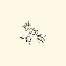 CC(C)(C)OC(=O)O.CC1(C)OB(c2ccc(N3C4CN5CC53C4)nc2)OC1(C)C